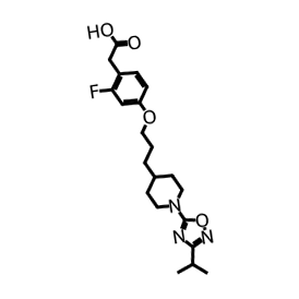 CC(C)c1noc(N2CCC(CCCOc3ccc(CC(=O)O)c(F)c3)CC2)n1